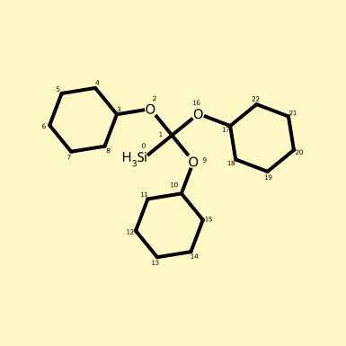 [SiH3]C(OC1CCCCC1)(OC1CCCCC1)OC1CCCCC1